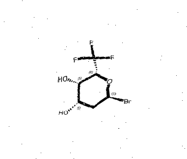 O[C@@H]1[C@H](C(F)(F)F)O[C@@H](Br)C[C@@H]1O